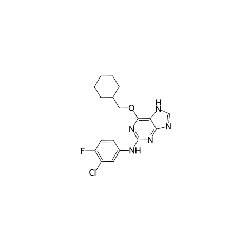 Fc1ccc(Nc2nc(OCC3CCCCC3)c3[nH]cnc3n2)cc1Cl